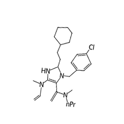 C=CN(C)C1=C(C(=C)N(C)CCC)N(Cc2ccc(Cl)cc2)C(CCC2CCCCC2)N1